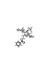 CC(C)(C)[Si](C)(C)OC(C#C[Si](C)(C)C)C(CCOC(=O)c1ccccc1)O[Si](C)(C)C(C)(C)C